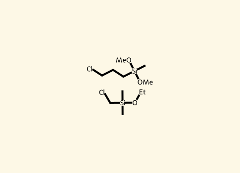 CCO[Si](C)(C)CCl.CO[Si](C)(CCCCl)OC